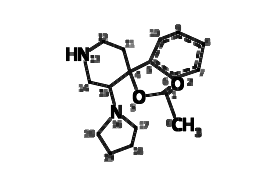 CC(=O)OC1(c2ccccc2)CCNCC1N1CCCC1